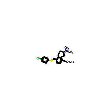 COc1ccc(CSc2ccc(Cl)cc2)c2c1C[C@@H](N(C)C)CC2